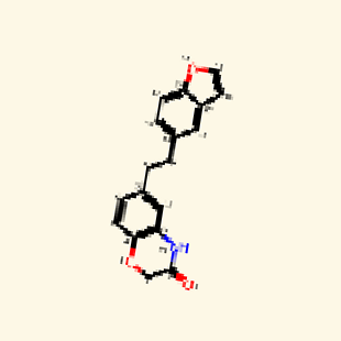 O=C1COc2ccc(CCc3ccc4occc4c3)cc2N1